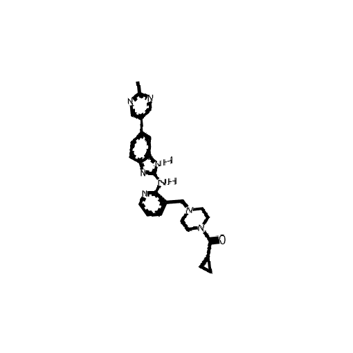 Cc1ncc(-c2ccc3nc(Nc4ncccc4CN4CCN(C(=O)C5CC5)CC4)[nH]c3c2)cn1